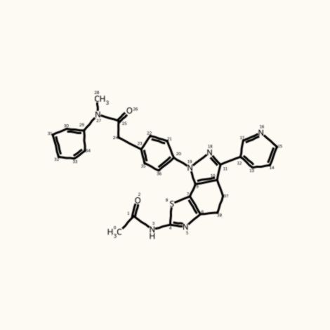 CC(=O)Nc1nc2c(s1)-c1c(c(-c3cccnc3)nn1-c1ccc(CC(=O)N(C)c3ccccc3)cc1)CC2